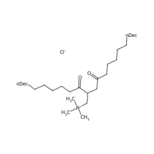 CCCCCCCCCCCCCCCC(=O)CC(C[N+](C)(C)C)C(=O)CCCCCCCCCCCCCCC.[Cl-]